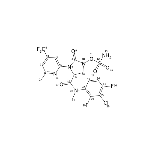 Cc1cc(C(F)(F)F)cc(N2C(=O)N(OS(N)(=O)=O)CC2C(=O)N(C)c2ccc(F)c(Cl)c2F)n1